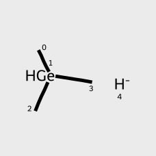 [CH3][GeH]([CH3])[CH3].[H-]